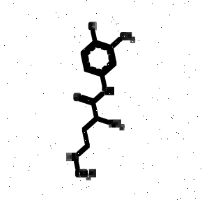 Cc1cc(NC(=O)C(N)CCNC(=O)O)ccc1Cl